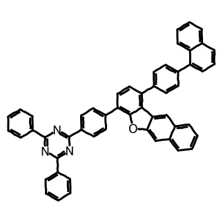 c1ccc(-c2nc(-c3ccccc3)nc(-c3ccc(-c4ccc(-c5ccc(-c6cccc7ccccc67)cc5)c5c4oc4cc6ccccc6cc45)cc3)n2)cc1